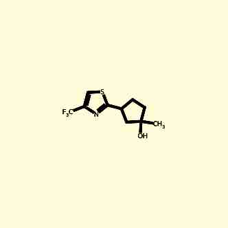 CC1(O)CCC(c2nc(C(F)(F)F)cs2)C1